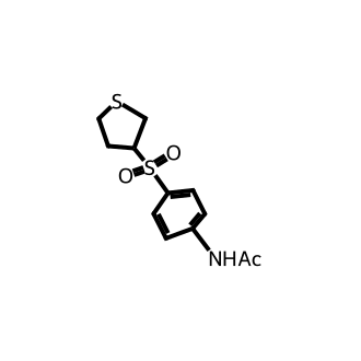 CC(=O)Nc1ccc(S(=O)(=O)C2CCSC2)cc1